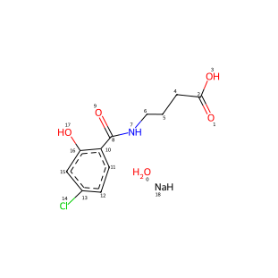 O.O=C(O)CCCNC(=O)c1ccc(Cl)cc1O.[NaH]